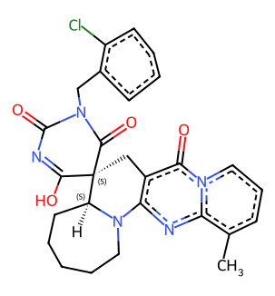 Cc1cccn2c(=O)c3c(nc12)N1CCCCC[C@H]1[C@]1(C3)C(=O)N(Cc2ccccc2Cl)C(=O)N=C1O